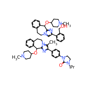 CN1CCC(OC2c3ccccc3CCn3cc(-c4ccccc4CO)nc32)CC1.Cc1c(-c2ccc(N3CCN(C(C)C)C3=O)cc2)nc2n1CCc1ccccc1C2OC1CCN(C)CC1